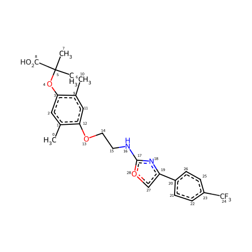 Cc1cc(OC(C)(C)C(=O)O)c(C)cc1OCCNc1nc(-c2ccc(C(F)(F)F)cc2)co1